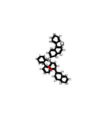 c1ccc(-c2ccccc2N(c2ccc(-c3ccc4ccccc4c3)cc2)c2ccc3c(ccc4oc5ccccc5c43)c2)cc1